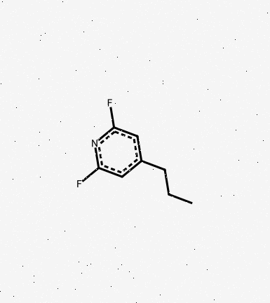 CCCc1cc(F)nc(F)c1